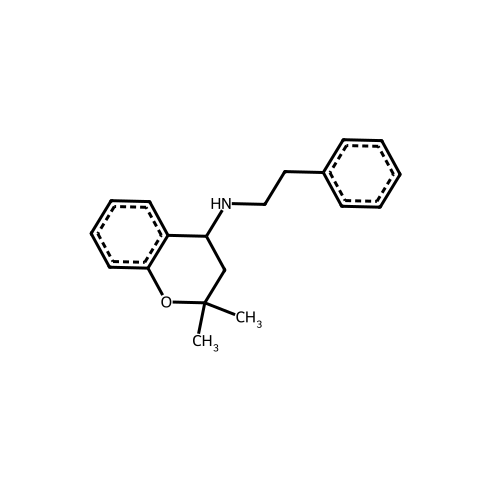 CC1(C)CC(NCCc2ccccc2)c2ccccc2O1